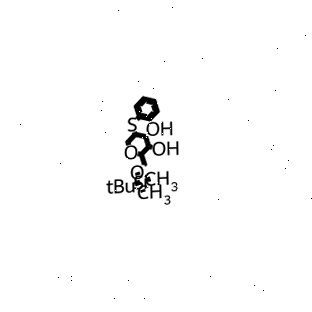 CC(C)(C)[Si](C)(C)OCC1OCC(Sc2ccccc2)C(O)C1O